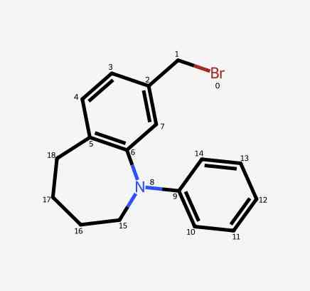 BrCc1ccc2c(c1)N(c1ccccc1)CCCC2